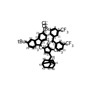 CC1=[C]([Zr+2](=[C](c2cccc(C(F)(F)F)c2)c2cccc(C(F)(F)F)c2)[c]2cc(C(C)(C)C)cc3c2Cc2ccc(C(C)(C)C)cc2-3)C(C)C=C1CC12CC3CC(CC(C3)C1)C2.[Cl-].[Cl-]